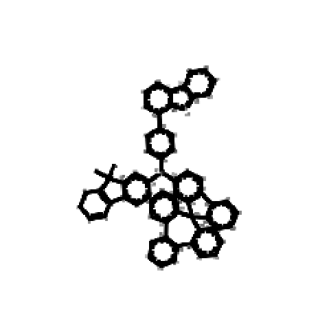 CC1(C)C2=C(C=CCC2)c2ccc(N(c3ccc(-c4cccc5c4sc4ccccc45)cc3)c3ccc4c(c3)C3(c5ccccc5-c5ccccc5-c5ccccc53)c3ccccc3-4)cc21